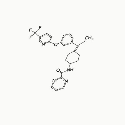 CCC(=C1CCC(NC(=O)c2ncccn2)CC1)c1cccc(Oc2ccc(C(F)(F)F)cn2)c1